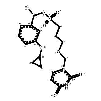 CC[C@@H](NS(=O)(=O)CCCOCn1ccc(=O)[nH]c1=O)c1cccc(OC2CC2)c1